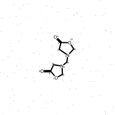 O=C1CN(CN2COC(=O)C2)CO1